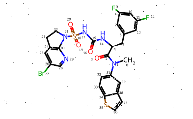 CN(C(=O)[C@H](Cc1cc(F)cc(F)c1)NC(=O)NS(=O)(=O)N1CCc2cc(Br)cnc21)c1ccc2sccc2c1